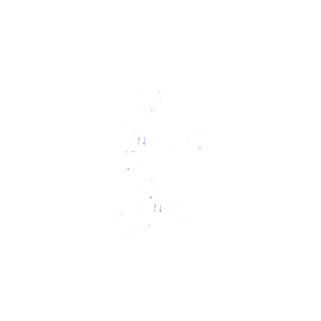 c1ccc(-c2ccc(N(c3cccc(-c4ccc5c(c4)c4c6ccccc6oc4n5-c4ccccc4)c3)c3cccc4c3sc3ccccc34)cc2)cc1